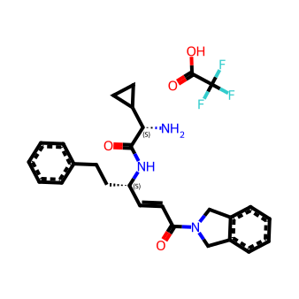 N[C@H](C(=O)N[C@H](C=CC(=O)N1Cc2ccccc2C1)CCc1ccccc1)C1CC1.O=C(O)C(F)(F)F